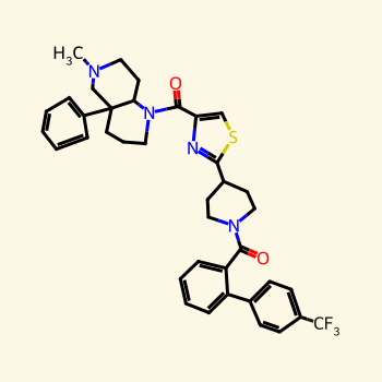 CN1CCC2N(C(=O)c3csc(C4CCN(C(=O)c5ccccc5-c5ccc(C(F)(F)F)cc5)CC4)n3)CCCC2(c2ccccc2)C1